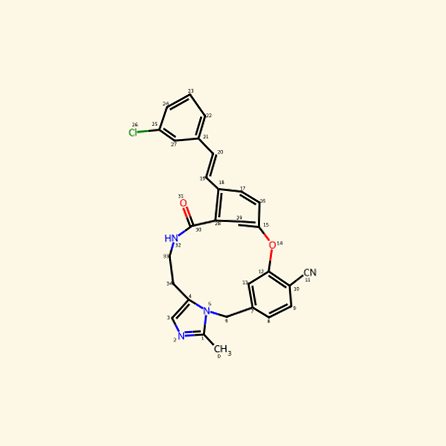 Cc1ncc2n1Cc1ccc(C#N)c(c1)Oc1ccc(/C=C/c3cccc(Cl)c3)c(c1)C(=O)NCC2